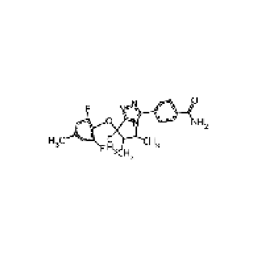 Cc1cc(F)c(OC2(C)c3nnc(-c4ccc(C(N)=O)cc4)n3C(C)C2C)c(F)c1